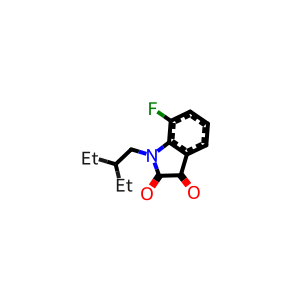 CCC(CC)CN1C(=O)C(=O)c2cccc(F)c21